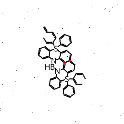 C=C/C=C\C(=C/C)S1(c2ccccc2)c2ccccc2N(BN2c3ccccc3S(C(/C=C\C)=C/C)(c3ccccc3)c3ccccc32)c2ccccc21